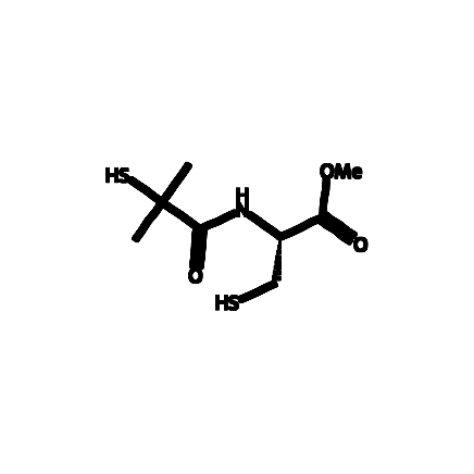 COC(=O)[C@H](CS)NC(=O)C(C)(C)S